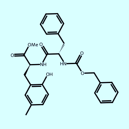 COC(=O)[C@H](Cc1cc(C)ccc1O)NC(=O)[C@H](Cc1ccccc1)NC(=O)OCc1ccccc1